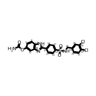 NC(=O)Oc1ccc2[nH]c(-c3ccc(S(=O)(=O)NCc4ccc(Cl)c(Cl)c4)cc3)nc2c1